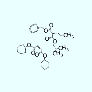 CCCC(C(=O)OCc1ccccc1)C(=O)OCC(C)C.O=C(/C=C\C(=O)OC1CCCCC1)OC1CCCCC1